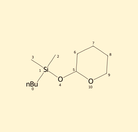 CCCC[Si](C)(C)OC1CCCCO1